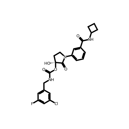 O=C(NCc1cc(F)cc(Cl)c1)O[C@@]1(O)CCN(c2cccc(C(=O)NC3CCC3)c2)C1=O